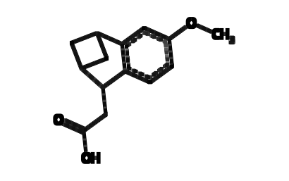 COc1ccc2c(c1)C1CC(C1)C2CC(=O)O